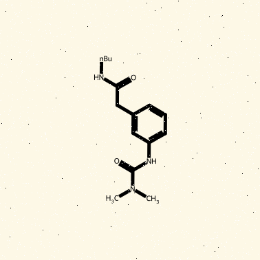 CCCCNC(=O)Cc1cccc(NC(=O)N(C)C)c1